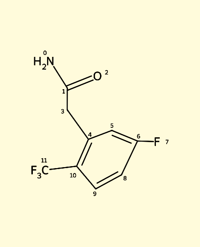 NC(=O)Cc1cc(F)ccc1C(F)(F)F